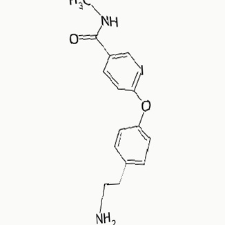 CNC(=O)C1=CI=C(Oc2ccc(CCN)cc2)C=C1